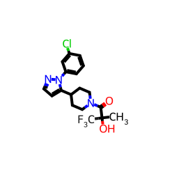 CC(O)(C(=O)N1CCC(c2ccnn2-c2cccc(Cl)c2)CC1)C(F)(F)F